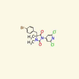 CN1C(=O)N(c2cc(Cl)nc(Cl)c2)C(=O)[C@@]1(C)Cc1ccc(Br)cc1